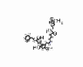 CS(=O)(=O)SCCNC(=O)CCC/C=C\C[C@@H]1[C@@H](CC[C@@H](O)CCc2ccccc2)[C@H](O)C[C@H]1O